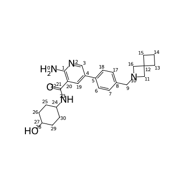 Nc1ncc(-c2ccc(CN3CC4(CCC4)C3)cc2)cc1C(=O)NC1CCC(O)CC1